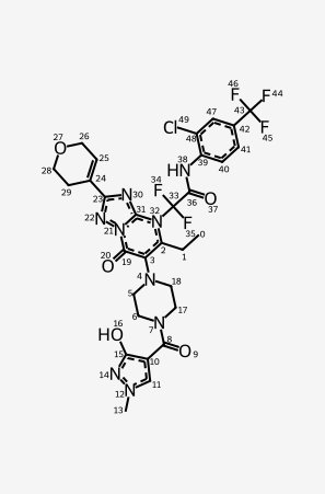 CCc1c(N2CCN(C(=O)c3cn(C)nc3O)CC2)c(=O)n2nc(C3=CCOCC3)nc2n1C(F)(F)C(=O)Nc1ccc(C(F)(F)F)cc1Cl